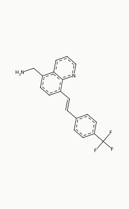 NCc1ccc(/C=C/c2ccc(C(F)(F)F)cc2)c2ncccc12